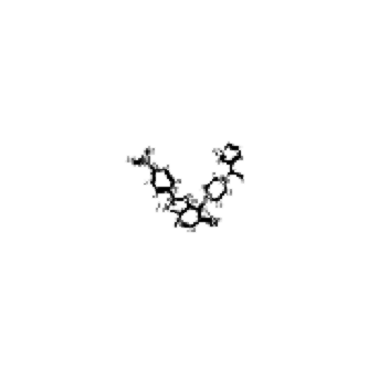 CC(c1cccnc1)N1CCN(c2c(Br)cnc3[nH]c(-c4ccc(N(C)C)cc4)nc23)CC1